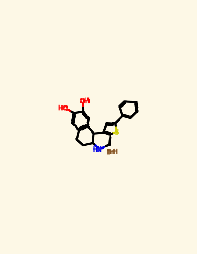 Br.Oc1cc2c(cc1O)C1c3cc(-c4ccccc4)sc3CNC1CC2